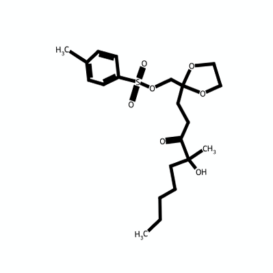 CCCCCC(C)(O)C(=O)CCC1(COS(=O)(=O)c2ccc(C)cc2)OCCO1